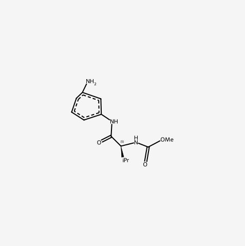 COC(=O)N[C@H](C(=O)Nc1cccc(N)c1)C(C)C